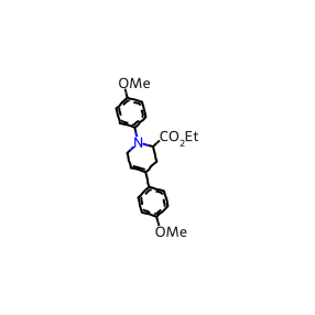 CCOC(=O)C1CC(c2ccc(OC)cc2)=CCN1c1ccc(OC)cc1